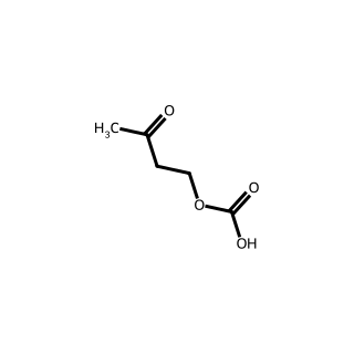 CC(=O)CCOC(=O)O